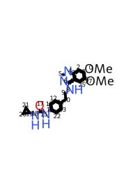 COc1cc2ncnc(NCCc3ccc(NC(=O)NC4CC4)cc3)c2cc1OC